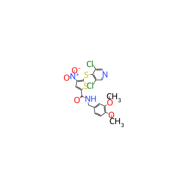 COc1ccc(CNC(=O)c2cc([N+](=O)[O-])c(Sc3c(Cl)cncc3Cl)s2)cc1OC